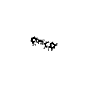 CC(C)c1cccc2nc(C(=O)N[C@H]3COc4cc(F)cc(F)c4NC3=O)nn12